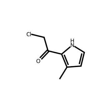 Cc1cc[nH]c1C(=O)CCl